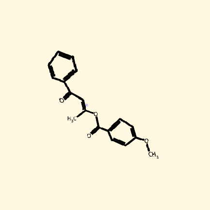 COc1ccc(C(=O)O/C(C)=C/C(=O)c2ccccc2)cc1